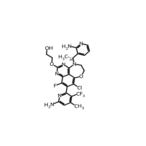 Cc1cc(N)nc(-c2c(Cl)c3c4c(nc(OCCO)nc4c2F)N([C@H](C)c2cccnc2N)CCO3)c1C(F)(F)F